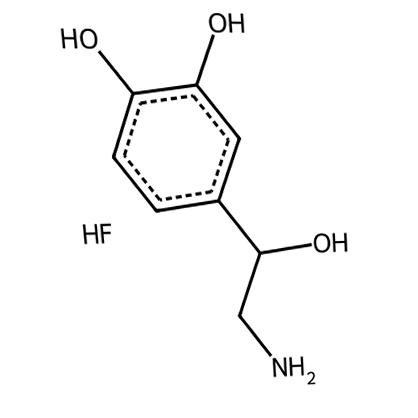 F.NCC(O)c1ccc(O)c(O)c1